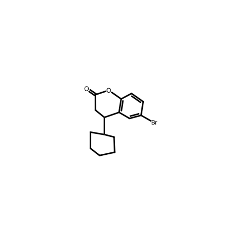 O=C1CC(C2CCCCC2)c2cc(Br)ccc2O1